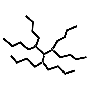 CCCCN(CCCC)P(N(CCCC)CCCC)N(CCCC)CCCC